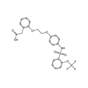 O=C(O)Cc1ccccc1OCCOc1ccc(NS(=O)(=O)c2ccccc2OC(F)(F)F)cc1